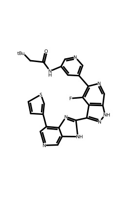 CC(C)(C)CC(=O)Nc1cncc(-c2ncc3[nH]nc(-c4nc5c(-c6ccsc6)cncc5[nH]4)c3c2F)c1